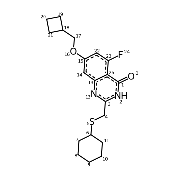 O=c1[nH]c(CSC2CCCCC2)nc2cc(OCC3CCC3)cc(F)c12